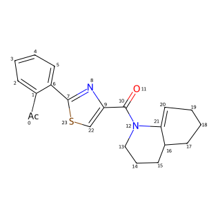 CC(=O)c1ccccc1-c1nc(C(=O)N2CCCC3CCCC=C32)cs1